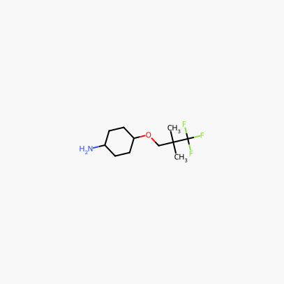 CC(C)(COC1CCC(N)CC1)C(F)(F)F